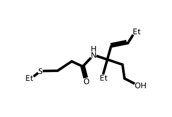 CCC=CC(CC)(CCO)NC(=O)CCSCC